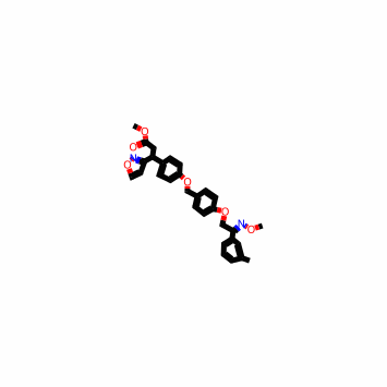 CON=C(COc1ccc(COc2ccc(C(CC(=O)OC)c3ccon3)cc2)cc1)c1cccc(C)c1